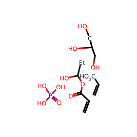 C=CC(=O)O.C=CC(=O)OC(O)CC.O=P(O)(O)O.OCC(O)CO